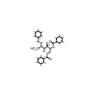 O=C(SCC(SC(=O)c1ccccc1)C(=O)NC(CCc1ccccc1)C(=O)O)c1ccccc1